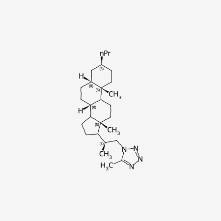 CCC[C@H]1CC[C@]2(C)C3CC[C@@]4(C)C(CCC4[C@H](C)Cn4nnnc4C)[C@@H]3CC[C@@H]2C1